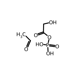 CC=O.O=C(CO)OP(=O)(O)O